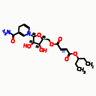 CCC(CC)OC(=O)/C=C/C(=O)OC[C@H]1O[C@@H](N2C=CCC(C(N)=O)=C2)[C@H](O)[C@@H]1O